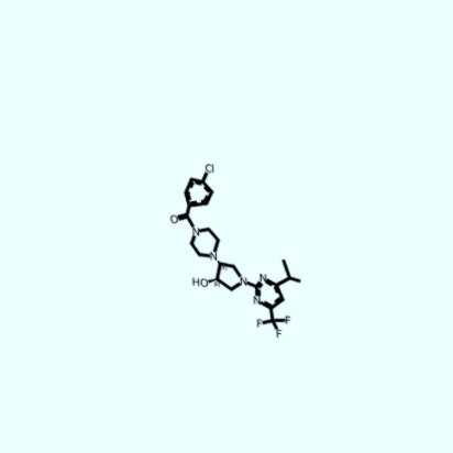 CC(C)c1cc(C(F)(F)F)nc(N2C[C@@H](O)[C@H](N3CCN(C(=O)c4ccc(Cl)cc4)CC3)C2)n1